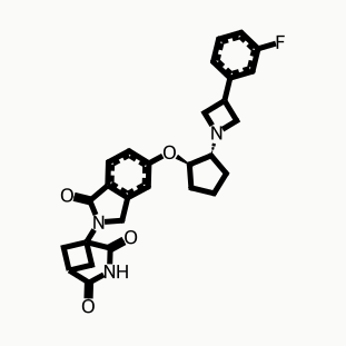 O=C1NC(=O)C2(N3Cc4cc(O[C@@H]5CCC[C@H]5N5CC(c6cccc(F)c6)C5)ccc4C3=O)CC1C2